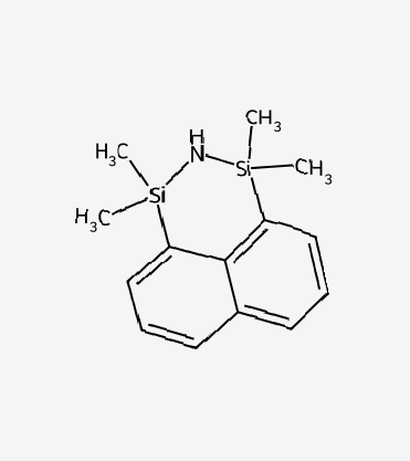 C[Si]1(C)N[Si](C)(C)c2cccc3cccc1c23